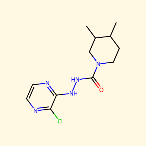 CC1CCN(C(=O)NNc2nccnc2Cl)CC1C